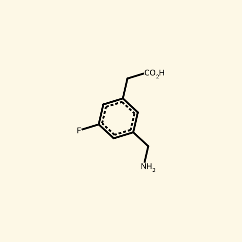 NCc1cc(F)cc(CC(=O)O)c1